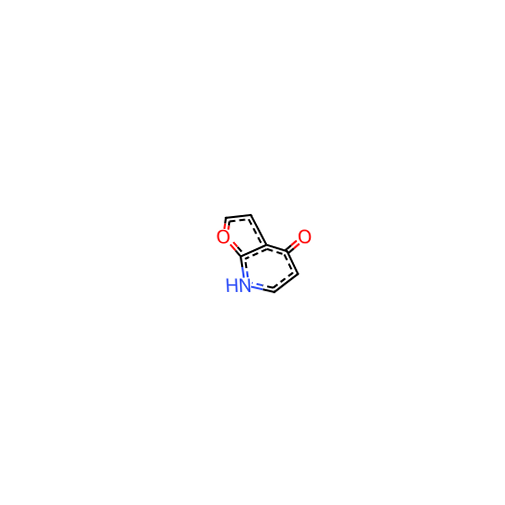 O=c1cc[nH]c2occc12